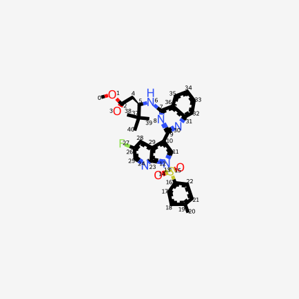 COC(=O)C[C@@H](Nc1nc(-c2cn(S(=O)(=O)c3ccc(C)cc3)c3ncc(F)cc23)nc2ccccc12)C(C)(C)C